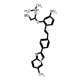 Cc1ccc2nc(-c3ccc(/C=C/c4ccc([N+](=O)[O-])cc4OC(CC(C)(C)C)O[SiH](C)C)cc3)cn2c1